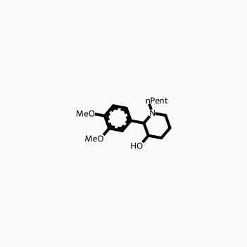 CCCCCN1CCCC(O)C1c1ccc(OC)c(OC)c1